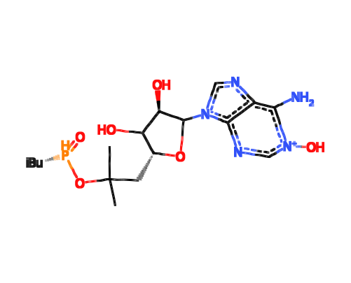 CC[C@@H](C)[PH](=O)OC(C)(C)C[C@H]1OC(n2cnc3c(N)[n+](O)cnc32)[C@H](O)C1O